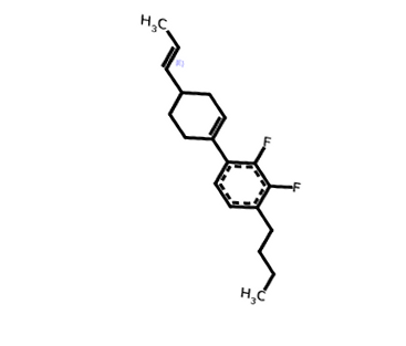 C/C=C/C1CC=C(c2ccc(CCCC)c(F)c2F)CC1